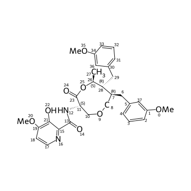 COc1cccc(C[C@H]2COC[C@H](NC(=O)c3nccc(OC)c3O)C(=O)O[C@@H](C)[C@@H]2Cc2cccc(OC)c2)c1